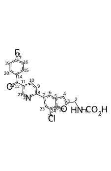 O=C(O)NCc1cc2cc(-c3ccc(C(=O)c4ccc(F)cc4)cn3)cc(Cl)c2o1